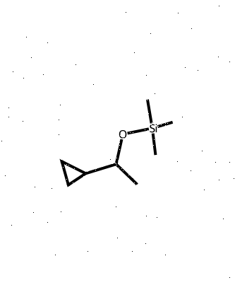 CC(O[Si](C)(C)C)C1CC1